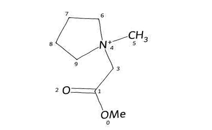 COC(=O)C[N+]1(C)CCCC1